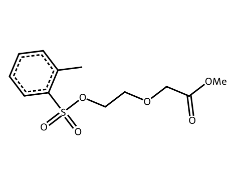 COC(=O)COCCOS(=O)(=O)c1ccccc1C